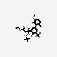 CCOC(=O)CC(O)(N[S@+]([O-])C(C)(C)C)c1cc(-c2c(C)ccc(OC)c2C)cc(C(F)(F)F)c1F